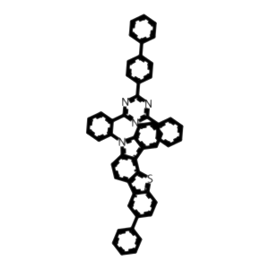 c1ccc(-c2ccc(-c3nc(-c4ccccc4)nc(-c4ccccc4-n4c5ccccc5c5c6sc7ccc(-c8ccccc8)cc7c6ccc54)n3)cc2)cc1